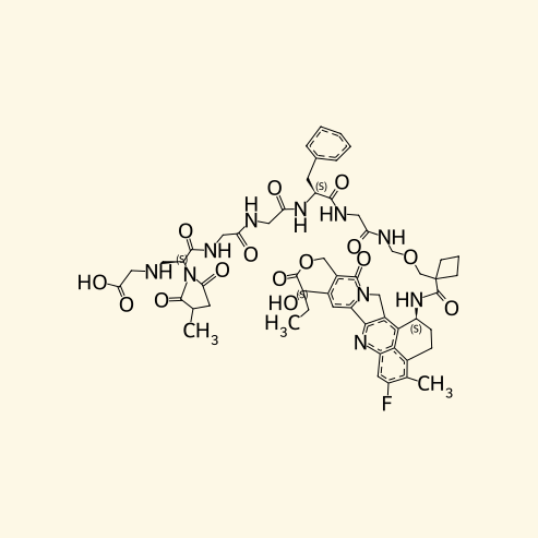 CC[C@@]1(O)C(=O)OCc2c1cc1n(c2=O)Cc2c-1nc1cc(F)c(C)c3c1c2[C@@H](NC(=O)C1(COCNC(=O)CNC(=O)[C@H](Cc2ccccc2)NC(=O)CNC(=O)CNC(=O)[C@H](CNCC(=O)O)N2C(=O)CC(C)C2=O)CCC1)CC3